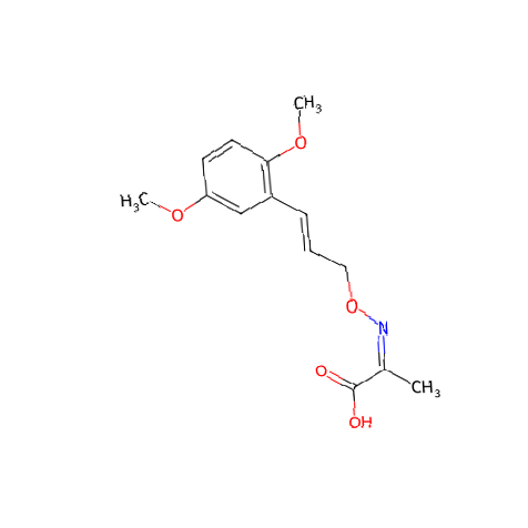 COc1ccc(OC)c(C=CCON=C(C)C(=O)O)c1